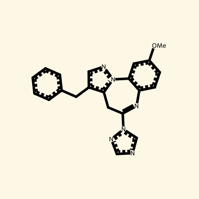 COc1ccc2c(c1)-n1ncc(Cc3ccccc3)c1CC(n1cncn1)=N2